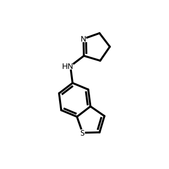 c1cc2cc(NC3=NCCC3)ccc2s1